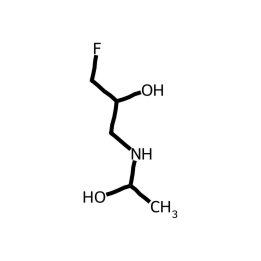 CC(O)NCC(O)CF